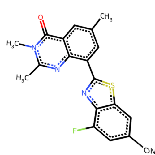 COc1cc(F)c2nc(-c3cc(C)cc4c(=O)n(C)c(C)nc34)sc2c1